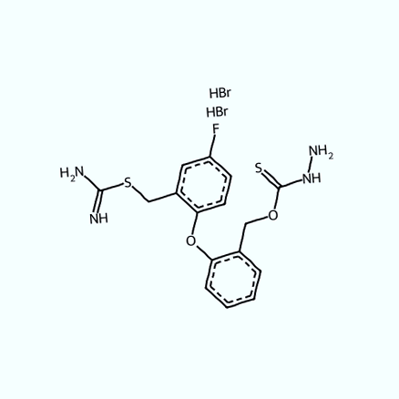 Br.Br.N=C(N)SCc1cc(F)ccc1Oc1ccccc1COC(=S)NN